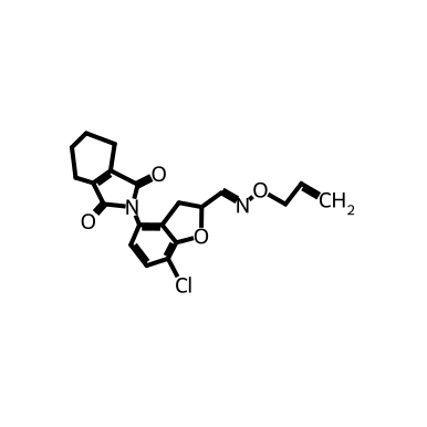 C=CCON=CC1Cc2c(N3C(=O)C4=C(CCCC4)C3=O)ccc(Cl)c2O1